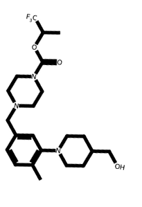 Cc1ccc(CN2CCN(C(=O)OC(C)C(F)(F)F)CC2)cc1N1CCC(CO)CC1